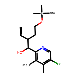 C=CC(CCO[Si](C)(C)C(C)(C)C)C(O)c1ncc(Br)c(C)c1OC